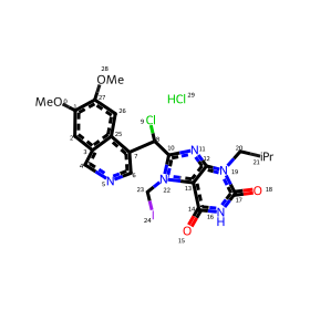 COc1cc2cncc(C(Cl)c3nc4c(c(=O)[nH]c(=O)n4CC(C)C)n3CI)c2cc1OC.Cl